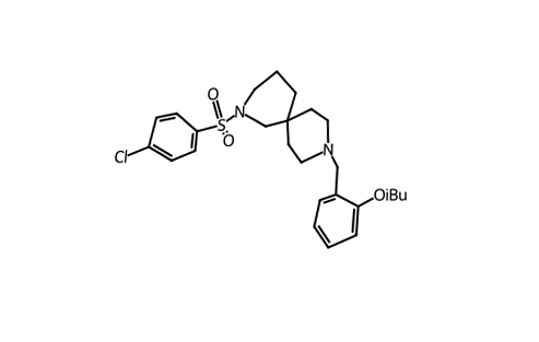 CC(C)COc1ccccc1CN1CCC2(CCCN(S(=O)(=O)c3ccc(Cl)cc3)C2)CC1